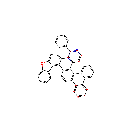 c1ccc(-c2ccccc2-c2ccc3oc4ccccc4c3c2-c2ccc(-c3ccccc3)c(-c3ccccc3-c3ccccc3)c2-c2ccnnn2)cc1